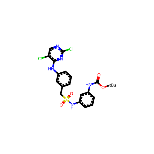 CC(C)(C)OC(=O)Nc1cccc(NS(=O)(=O)Cc2cccc(Nc3nc(Cl)ncc3Cl)c2)c1